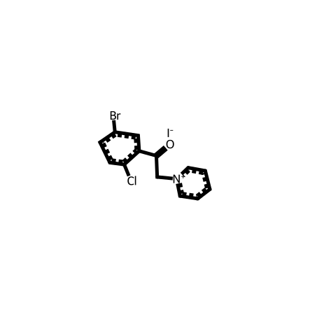 O=C(C[n+]1ccccc1)c1cc(Br)ccc1Cl.[I-]